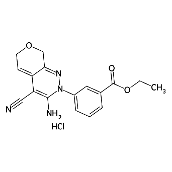 CCOC(=O)c1cccc(N2N=C3COCC=C3C(C#N)=C2N)c1.Cl